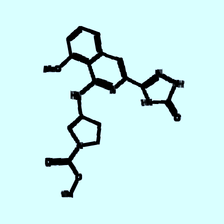 COc1cccc2cc(-c3n[nH]c(=O)[nH]3)nc(NC3CCN(C(=O)OC(C)(C)C)C3)c12